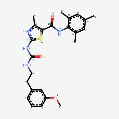 COc1cccc(CCNC(=O)Nc2nc(C)c(C(=O)Nc3c(C)cc(C)cc3C)s2)c1